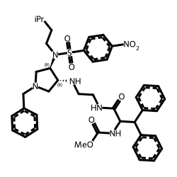 COC(=O)NC(C(=O)NCCN[C@@H]1CN(Cc2ccccc2)C[C@H]1N(CCC(C)C)S(=O)(=O)c1ccc([N+](=O)[O-])cc1)C(c1ccccc1)c1ccccc1